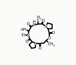 CCCC1C(=O)NC(C)C(=O)N2CCCC2C(=O)OC(C)CC(=O)N2CCCC2C(=O)N1CC